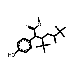 COC(=O)C(c1ccc(O)cc1)C(CC(C)C(C)(C)C)C(C)(C)C